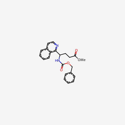 COC(=O)CCC(NC(=O)OCc1ccccc1)c1nccc2ccccc12